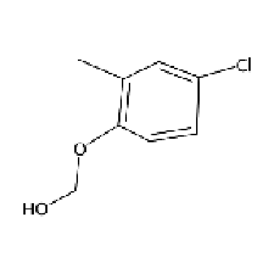 Cc1cc(Cl)ccc1OCO